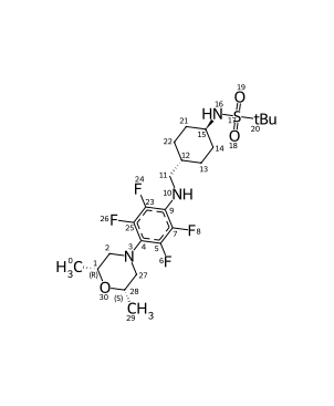 C[C@@H]1CN(c2c(F)c(F)c(NC[C@H]3CC[C@H](NS(=O)(=O)C(C)(C)C)CC3)c(F)c2F)C[C@H](C)O1